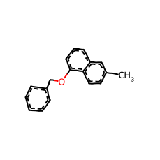 Cc1ccc2c(OCc3ccccc3)cccc2c1